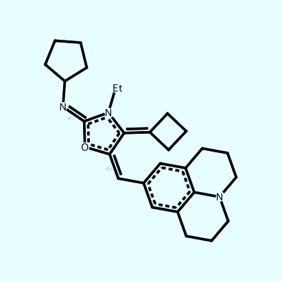 CCn1c(=C2CCC2)/c(=C\c2cc3c4c(c2)CCCN4CCC3)o/c1=N/C1CCCC1